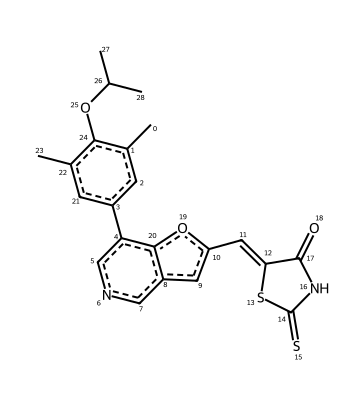 Cc1cc(-c2cncc3cc(/C=C4\SC(=S)NC4=O)oc23)cc(C)c1OC(C)C